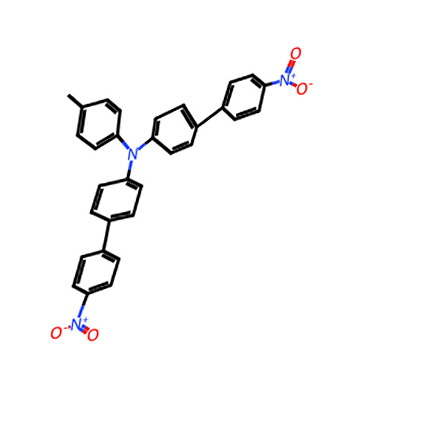 Cc1ccc(N(c2ccc(-c3ccc([N+](=O)[O-])cc3)cc2)c2ccc(-c3ccc([N+](=O)[O-])cc3)cc2)cc1